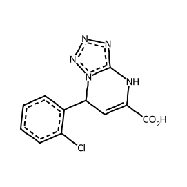 O=C(O)C1=CC(c2ccccc2Cl)n2nnnc2N1